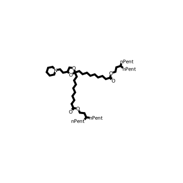 CCCCCC(CCCCC)CCOC(=O)CCCCCCCCC1(CCCCCCCCC(=O)OCCC(CCCCC)CCCCC)OCC(CCN2CCCCC2)O1